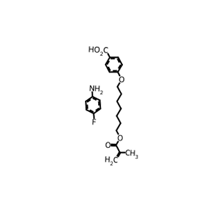 C=C(C)C(=O)OCCCCCCCOc1ccc(C(=O)O)cc1.Nc1ccc(F)cc1